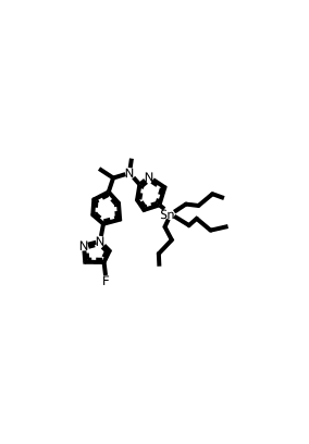 CCC[CH2][Sn]([CH2]CCC)([CH2]CCC)[c]1ccc(N(C)C(C)c2ccc(-n3cc(F)cn3)cc2)nc1